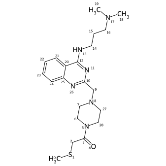 CSCC(=O)N1CCN(Cc2nc(NCCCN(C)C)c3ccccc3n2)CC1